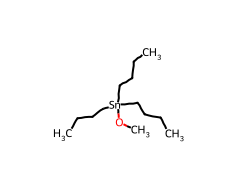 CCC[CH2][Sn]([CH2]CCC)([CH2]CCC)[O]C